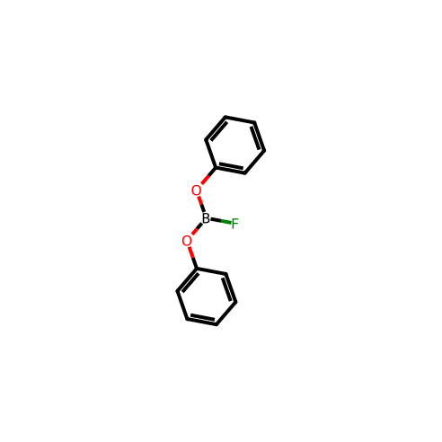 FB(Oc1ccccc1)Oc1ccccc1